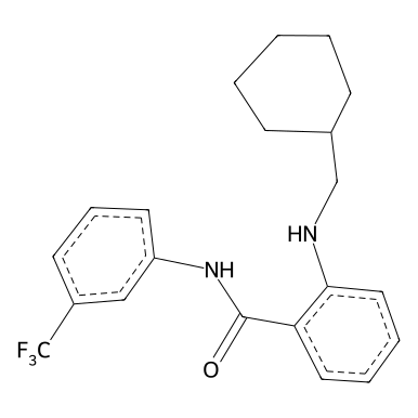 O=C(Nc1cccc(C(F)(F)F)c1)c1ccccc1NCC1CCCCC1